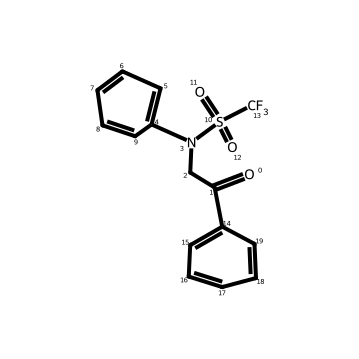 O=C(CN(c1ccccc1)S(=O)(=O)C(F)(F)F)c1ccccc1